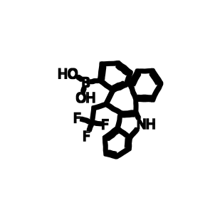 OB(O)c1ccccc1C(CC(F)(F)F)c1c(-c2ccccc2)[nH]c2ccccc12